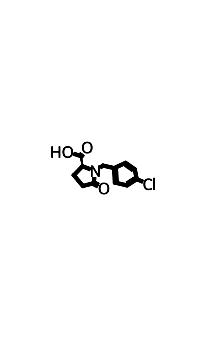 O=C(O)[C@@H]1CCC(=O)N1Cc1ccc(Cl)cc1